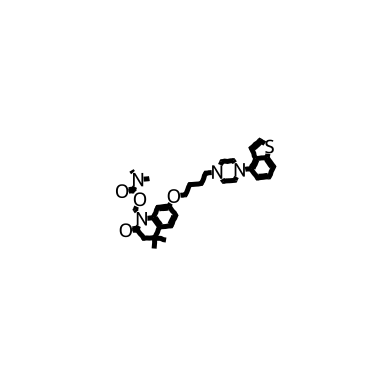 CN(C)C(=O)OCN1C(=O)CC(C)(C)c2ccc(OCCCCN3CCN(c4cccc5sccc45)CC3)cc21